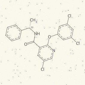 C[C@H](NC(=O)c1cc(Cl)cnc1Oc1cc(Cl)cc(Cl)c1)c1ccccc1